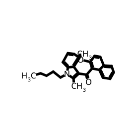 CCCCCn1c(C)c(C(=O)c2c(OC)ccc3ccccc23)c2ccccc21